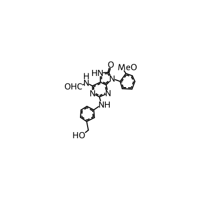 COc1ccccc1-n1c(=O)[nH]c2c(NC=O)nc(Nc3cccc(CO)c3)nc21